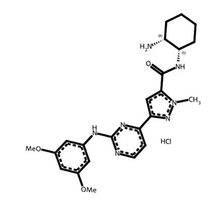 COc1cc(Nc2nccc(-c3cc(C(=O)N[C@H]4CCCC[C@H]4N)n(C)n3)n2)cc(OC)c1.Cl